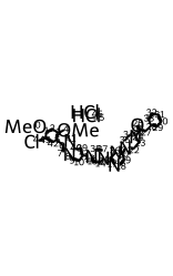 COc1cc(OC)c(-c2cn3ccc(N4CCN(c5nccc(N6CCN(C(=O)Cc7ccccc7)CC6)n5)CC4)cc3n2)cc1Cl.Cl.Cl